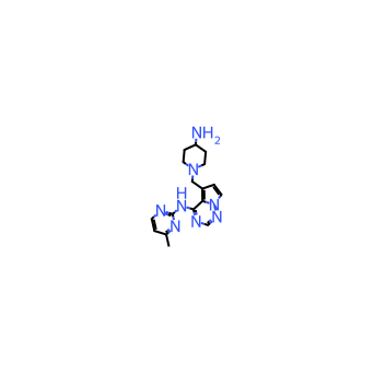 Cc1ccnc(Nc2ncnn3ccc(CN4CCC(N)CC4)c23)n1